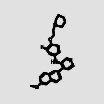 COc1ccc2cc(-c3ccncc3Nc3ccc(OCCN4CCCCC4)c(F)c3)ccc2c1